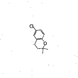 CC1(C)C[CH]c2cc(Cl)ccc2O1